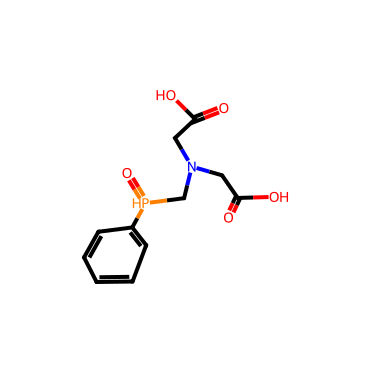 O=C(O)CN(CC(=O)O)C[PH](=O)c1ccccc1